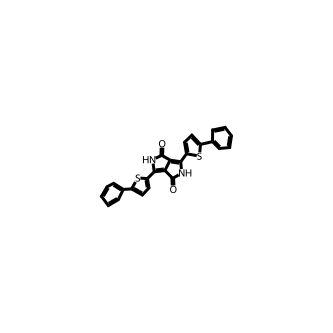 O=C1NC(c2ccc(-c3ccccc3)s2)=C2C(=O)NC(c3ccc(-c4ccccc4)s3)=C12